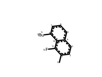 Cc1ccc2cccc(C(C)(C)C)c2c1F